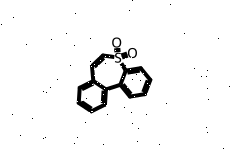 O=S1(=O)C=Cc2ccccc2-c2ccccc21